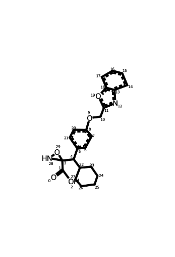 O=C(O)C1(C(c2ccc(OCc3nc4ccccc4o3)cc2)C2CCCCC2)NO1